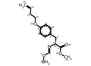 BOC=N[C@@H](Cc1ccc(OCCC=C)cc1)C(=O)OC